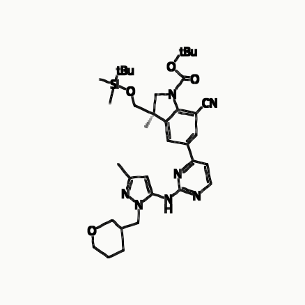 Cc1cc(Nc2nccc(-c3cc(C#N)c4c(c3)[C@@](C)(CO[Si](C)(C)C(C)(C)C)CN4C(=O)OC(C)(C)C)n2)n(CC2CCCOC2)n1